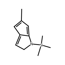 CC1=CC2=CCN([Si](C)(C)C)C2=C1